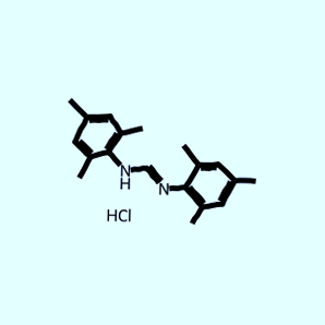 Cc1cc(C)c(/N=C/Nc2c(C)cc(C)cc2C)c(C)c1.Cl